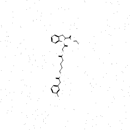 CCOC(=O)C1Cc2ccccc2N1C(=O)CNC(=O)CCCCNC(=O)Cc1cccc(C)c1